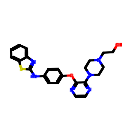 OCCN1CCN(c2nccnc2Oc2ccc(Nc3nc4ccccc4s3)cc2)CC1